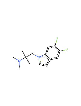 CN(C)C(C)(C)Cn1ccc2cc(F)c(F)cc21